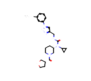 COc1cccc(-n2cc(CNC(=O)N(C3CC3)[C@@H]3CCCN(C(=O)[C@@H]4CCOC4)C3)nn2)c1